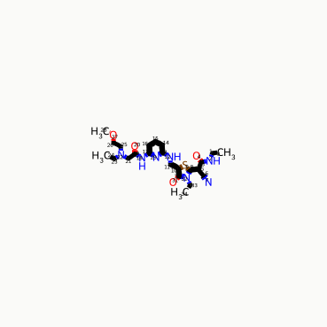 CCNC(=O)C(C#N)=c1sc(=CNc2cccc(NC(=O)CN(CC)CCOC)n2)c(=O)n1CC